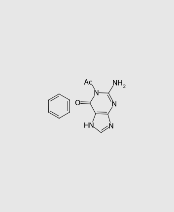 CC(=O)n1c(N)nc2nc[nH]c2c1=O.c1ccccc1